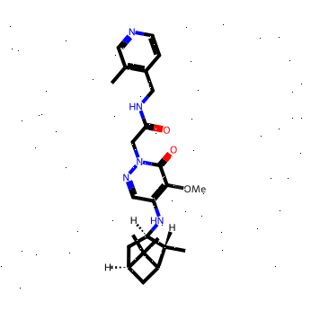 COc1c(N[C@@H]2C[C@@H]3CC([C@H]2C)C3(C)C)cnn(CC(=O)NCc2ccncc2C)c1=O